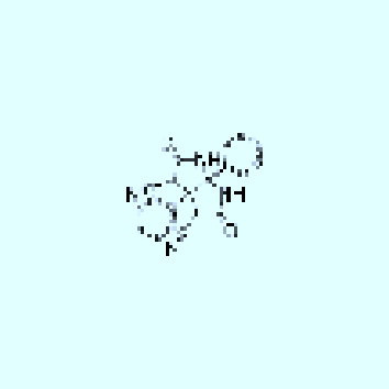 N#CC1C(=O)N[C@@]2(c3ccccc3)NC(=O)[C@H](C#N)C12c1ccccc1